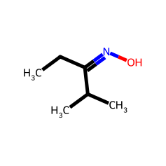 CC/C(=N/O)C(C)C